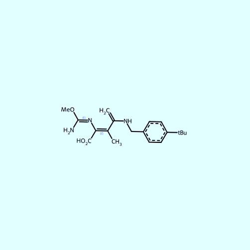 C=C(NCc1ccc(C(C)(C)C)cc1)/C(C)=C(\N=C(/N)OC)C(=O)O